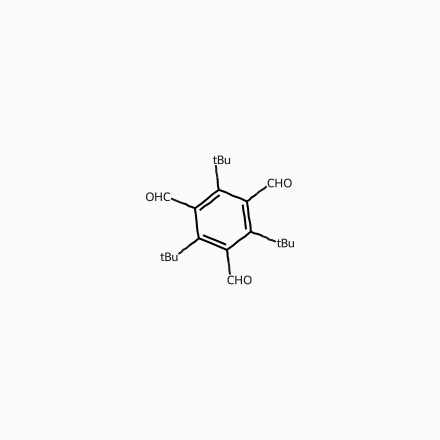 CC(C)(C)c1c(C=O)c(C(C)(C)C)c(C=O)c(C(C)(C)C)c1C=O